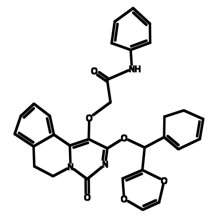 O=C(COc1c(OC(C2=CC=CCC2)C2=COC=CO2)nc(=O)n2c1-c1ccccc1CC2)Nc1ccccc1